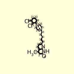 Cc1cc(=O)[nH]c2nc(/C=C/CCCN3CCN(c4cccc(Cl)c4Cl)CC3)ccc12